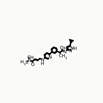 CC(C(=O)Nc1cc(C2CC2)[nH]n1)c1cccc(-c2ccc(NCC=CC(=O)N(C)C)cn2)c1